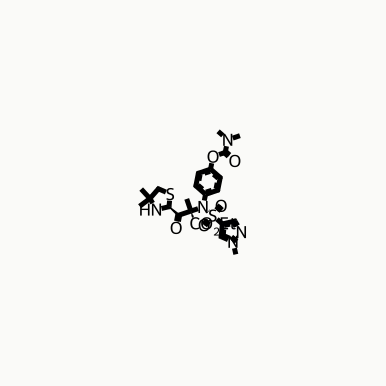 CCOC(=O)[C@@](C)(C(=O)[C@H]1NC(C)(C)CS1)N(c1ccc(OC(=O)N(C)C)cc1)S(=O)(=O)c1cnn(C)c1